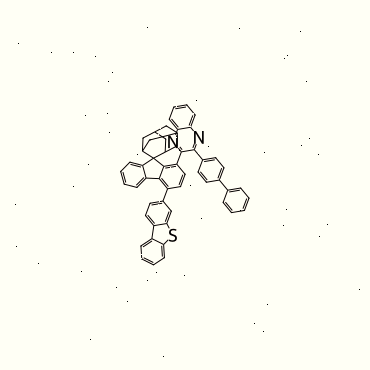 c1ccc(-c2ccc(-c3nc4ccccc4nc3-c3ccc(-c4ccc5c(c4)sc4ccccc45)c4c3C3(c5ccccc5-4)C4CC5CC(C4)CC3C5)cc2)cc1